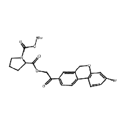 CC(C)(C)OC(=O)N1CCCC1C(=O)OCC(=O)c1ccc2c(c1)COc1cc(Br)ccc1-2